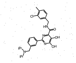 Cc1ccc(CNC(=O)c2nc(-c3cccc(CN(C(C)C)C(C)C)c3)nc(O)c2O)cc1Cl